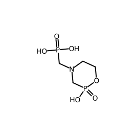 O=P(O)(O)CN1CCOP(=O)(O)C1